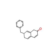 O=C1C=CC2=CCC(Cc3ccccc3)C=C2C1